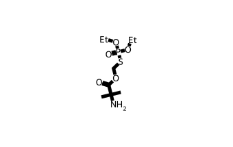 CCOP(=O)(OCC)SCOC(=O)C(C)(C)N